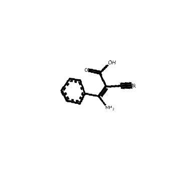 N#C/C(C(=O)O)=C(\N)c1ccccc1